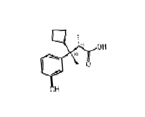 C[C@H](C(=O)O)[C@](C)(c1cccc(O)c1)C1CCC1